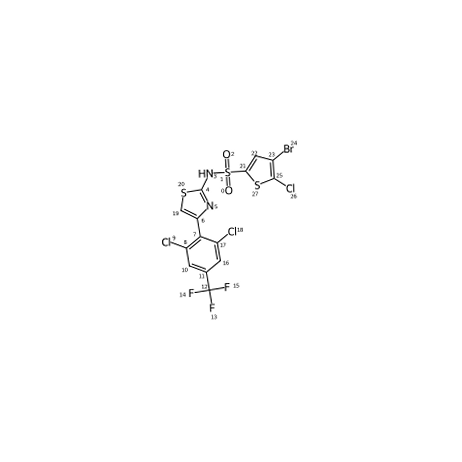 O=S(=O)(Nc1nc(-c2c(Cl)cc(C(F)(F)F)cc2Cl)cs1)c1cc(Br)c(Cl)s1